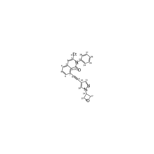 CCc1cc2cccc(C#Cc3cnn(C4COC4)c3)c2c(=O)n1-c1ccccc1